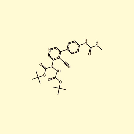 CNC(=O)Nc1ccc(-c2cncc(N(NC(=O)OC(C)(C)C)C(=O)OC(C)(C)C)c2C#N)cc1